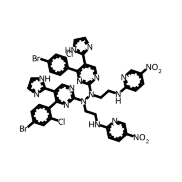 O=[N+]([O-])c1ccc(NCCN(c2ncc(-c3ncc[nH]3)c(-c3ccc(Br)cc3Cl)n2)N(CCNc2ccc([N+](=O)[O-])cn2)c2ncc(-c3ncc[nH]3)c(-c3ccc(Br)cc3Cl)n2)nc1